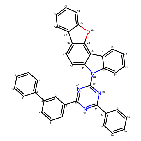 c1ccc(-c2cccc(-c3nc(-c4ccccc4)nc(-n4c5ccccc5c5c6oc7ccccc7c6ccc54)n3)c2)cc1